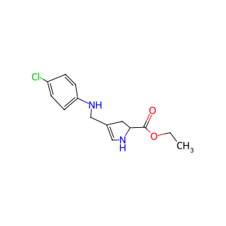 CCOC(=O)C1CC(CNc2ccc(Cl)cc2)=CN1